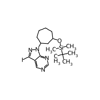 CC(C)(C)[Si](C)(C)OC1CCCCC(n2nc(I)c3cncnc32)C1